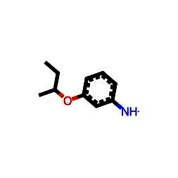 CCC(C)Oc1cccc([NH])c1